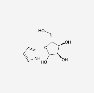 OC[C@H]1OC(O)[C@H](O)[C@@H]1O.c1cn[nH]c1